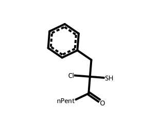 CCCCCC(=O)C(S)(Cl)Cc1ccccc1